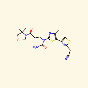 Cc1nc(N(CCC(=O)N2COCC2(C)C)C(N)=O)sc1-c1csc(CC#N)n1